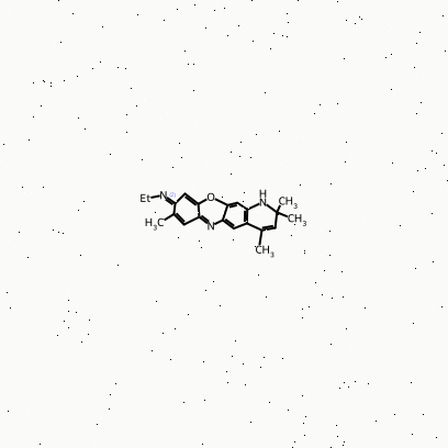 CC/N=c1/cc2oc3cc4c(cc3nc-2cc1C)C(C)=CC(C)(C)N4